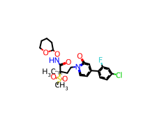 C[C@@](CCn1ccc(-c2ccc(Cl)cc2F)cc1=O)(C(=O)NOC1CCCCO1)S(C)(=O)=O